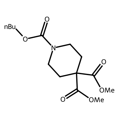 CCCCOC(=O)N1CCC(C(=O)OC)(C(=O)OC)CC1